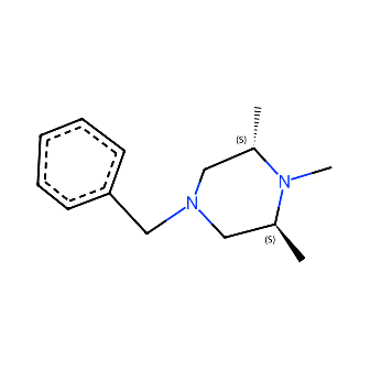 C[C@H]1CN(Cc2ccccc2)C[C@H](C)N1C